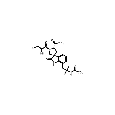 CC(C)(C)C[C@H](N)C(=O)N1C[C@]2(C[C@H]1C(N)=O)C(=O)Nc1c(CC(C)(C)NC(=O)C(=O)O)cccc12